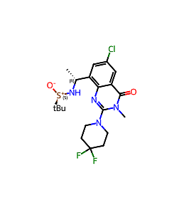 C[C@@H](N[S@+]([O-])C(C)(C)C)c1cc(Cl)cc2c(=O)n(C)c(N3CCC(F)(F)CC3)nc12